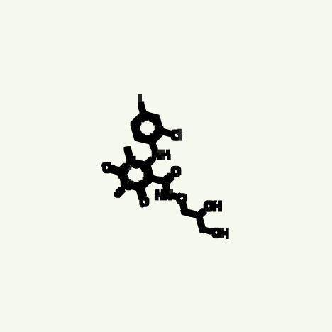 Cn1c(Nc2ccc(I)cc2Cl)c(C(=O)NOCC(O)CO)c(=O)n(C)c1=O